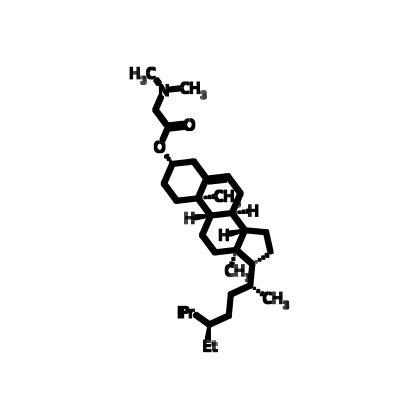 CC[C@H](CC[C@@H](C)[C@H]1CC[C@H]2[C@@H]3CC=C4C[C@@H](OC(=O)CN(C)C)CC[C@]4(C)[C@H]3CC[C@]12C)C(C)C